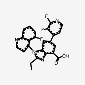 CCc1nc2c(C(=O)O)cc(-c3ccnc(F)c3F)cc2n1-c1ccnc2cccc(F)c12